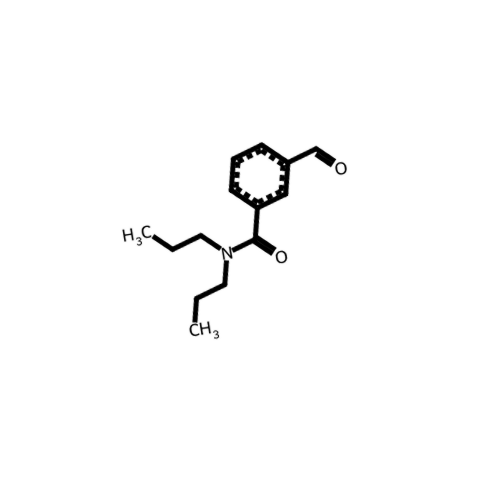 CCCN(CCC)C(=O)c1cccc(C=O)c1